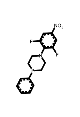 O=[N+]([O-])c1cc(F)c(N2CCP(c3ccccc3)CC2)c(F)c1